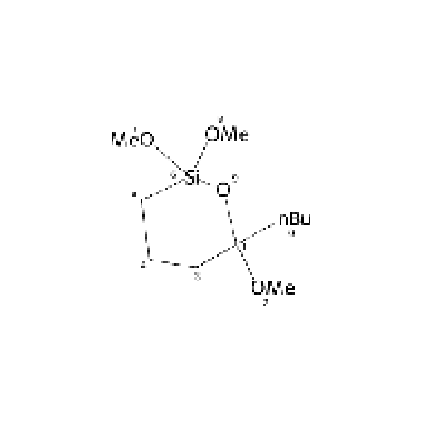 CCCCC1(OC)CCC[Si](OC)(OC)O1